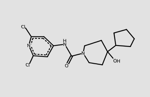 O=C(Nc1cc(Cl)nc(Cl)c1)N1CCC(O)(C2CCCC2)CC1